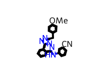 COc1ccc(Cc2nnc3c4ccccc4c(Nc4cccc(C#N)c4)nn23)cc1